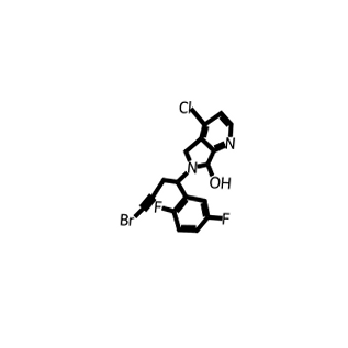 OC1c2nccc(Cl)c2CN1C(CC#CBr)c1cc(F)ccc1F